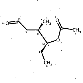 CC[C@H](OC(C)=O)[C@H](C)CC=O